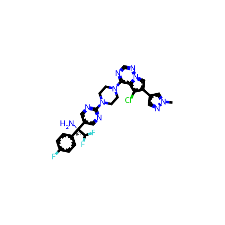 Cn1cc(-c2cn3ncnc(N4CCN(c5ncc([C@](N)(c6ccc(F)cc6)C(F)F)cn5)CC4)c3c2Cl)cn1